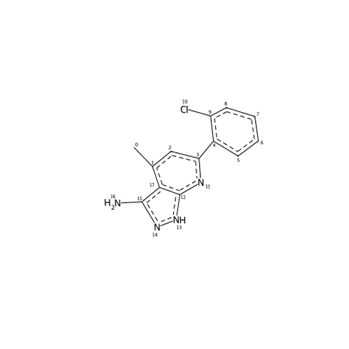 Cc1cc(-c2ccccc2Cl)nc2[nH]nc(N)c12